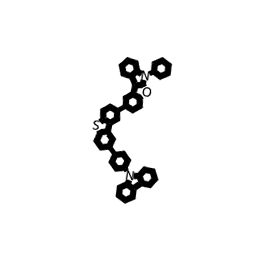 c1ccc(-n2c3ccccc3c3c4cc(-c5ccc6sc7ccc(-c8ccc(-n9c%10ccccc%10c%10ccccc%109)cc8)cc7c6c5)ccc4oc32)cc1